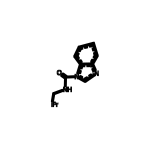 CC(C)CNC(=O)n1cnc2ccccc21